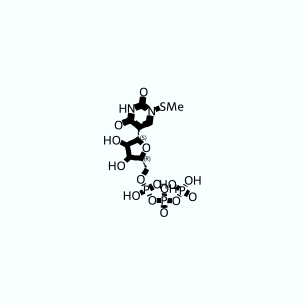 CSn1cc([C@@H]2O[C@H](COP(=O)(O)OP(=O)(O)OP(=O)(O)O)C(O)C2O)c(=O)[nH]c1=O